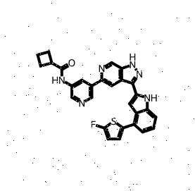 O=C(Nc1cncc(-c2cc3c(-c4cc5c(-c6ccc(F)s6)cccc5[nH]4)n[nH]c3cn2)c1)C1CCC1